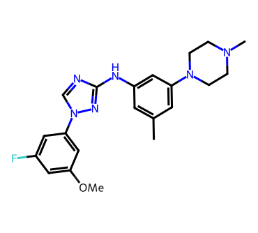 COc1cc(F)cc(-n2cnc(Nc3cc(C)cc(N4CCN(C)CC4)c3)n2)c1